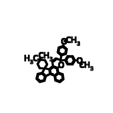 COc1ccc(C2(c3ccc(OC)cc3)C=Cc3c4c(c5ccccc5c3O2)-c2ccccc2C42CCC(C)(C)CC2)cc1